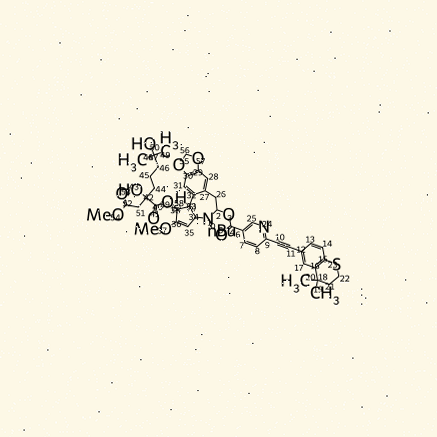 CCCCN1C(OC(=O)c2ccc(C#Cc3ccc4c(c3)C(C)(C)CCS4)nc2)Cc2cc3c(cc2[C@H]2C1C=C(OC)[C@H]2OC(=O)C(O)(CCCC(C)(C)O)CC(=O)OC)OCO3